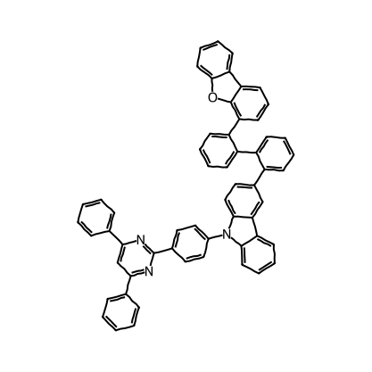 c1ccc(-c2cc(-c3ccccc3)nc(-c3ccc(-n4c5ccccc5c5cc(-c6ccccc6-c6ccccc6-c6cccc7c6oc6ccccc67)ccc54)cc3)n2)cc1